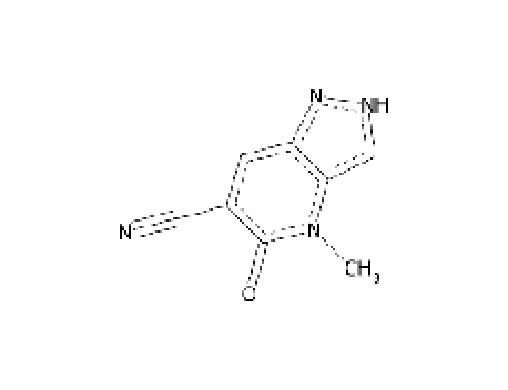 Cn1c(=O)c(C#N)cc2n[nH]cc21